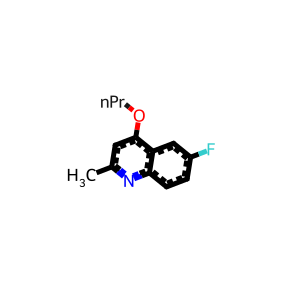 CCCOc1cc(C)nc2ccc(F)cc12